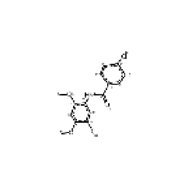 COc1cc(OC)c(NC(=O)c2ccc(Cl)cc2)cc1Cl